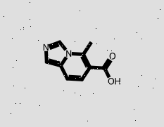 Cc1c(C(=O)O)ccc2cncn12